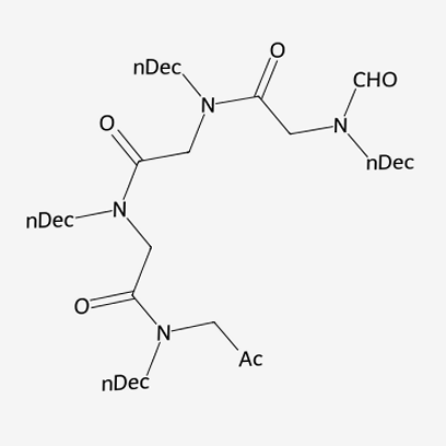 CCCCCCCCCCN(C=O)CC(=O)N(CCCCCCCCCC)CC(=O)N(CCCCCCCCCC)CC(=O)N(CCCCCCCCCC)CC(C)=O